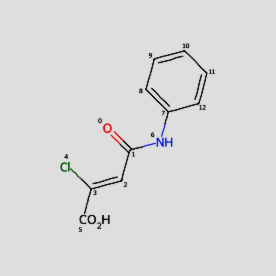 O=C(C=C(Cl)C(=O)O)Nc1ccccc1